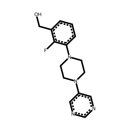 OCc1cccc(N2CCN(c3cncnc3)CC2)c1F